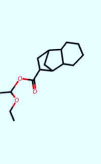 CCOC(C)OC(=O)C1CC2CC1C1CCCCC21